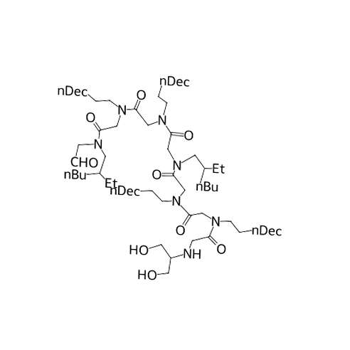 CCCCCCCCCCCCN(CC(=O)N(CCCCCCCCCCCC)CC(=O)N(CC(=O)N(CCCCCCCCCCCC)CC(=O)N(CCCCCCCCCCCC)CC(=O)N(CC=O)CC(CC)CCCC)CC(CC)CCCC)C(=O)CNC(CO)CO